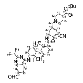 Cc1c(Nc2nc(C(F)F)nc3cc(C=O)cnc23)cccc1-c1cccc(-c2nc3cc(CN4CCC(C(=O)OC(C)(C)C)CC4)cc(C#N)c3o2)c1C